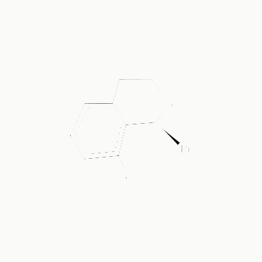 Clc1cccc2c1[C@H](Br)CCC2